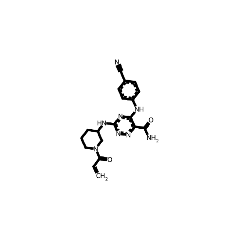 C=CC(=O)N1CCCC(Nc2nnc(C(N)=O)c(Nc3ccc(C#N)cc3)n2)C1